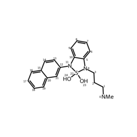 CNCCCN1c2ccccc2N(c2ccc3ccccc3c2)S1(O)O